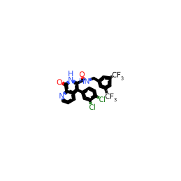 O=C(NCc1cc(C(F)(F)F)cc(C(F)(F)F)c1)c1[nH]c(=O)c2ncccc2c1-c1ccc(Cl)c(Cl)c1